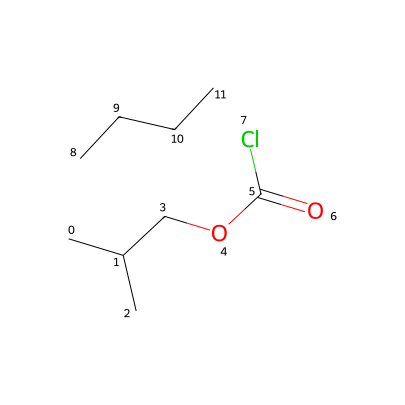 CC(C)COC(=O)Cl.CCCC